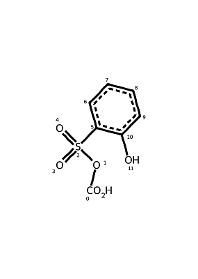 O=C(O)OS(=O)(=O)c1ccccc1O